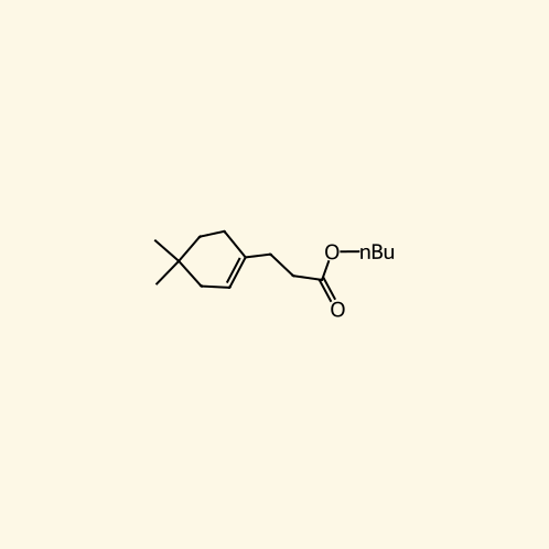 CCCCOC(=O)CCC1=CCC(C)(C)CC1